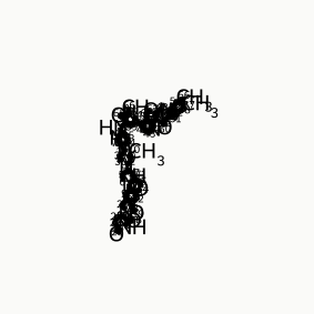 C[C@H]1CN([C@@H]2CCN3c4cc5c(cc4OC[C@@H]3C2)C(=O)N([C@H]2CCC(=O)NC2=O)C5)CCN1c1ccc(Nc2cc(-c3ccnc(N4CCn5c(cc6c5CC(C)(C)C6)C4=O)c3CO)cn(C)c2=O)nc1